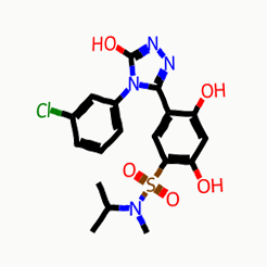 CC(C)N(C)S(=O)(=O)c1cc(-c2nnc(O)n2-c2cccc(Cl)c2)c(O)cc1O